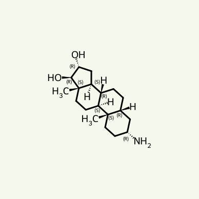 C[C@]12CC[C@@H](N)C[C@H]1CC[C@@H]1[C@@H]2CC[C@]2(C)[C@@H](O)[C@H](O)C[C@@H]12